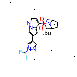 CC(C)(C)OC(=O)N1C2CCC1CN(c1ccnn3cc(-c4cnn(C(F)F)c4)cc13)C2